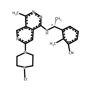 CCN1CCN(c2cc3c(N[C@H](C)c4cccc(C#N)c4C)nnc(C)c3cn2)CC1